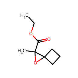 CCOC(=O)C1(C)OC12CCC2